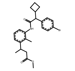 COC(=O)CC(C)c1cccc(NC(=O)C(c2ccc(Br)cc2)C2CCC2)c1C